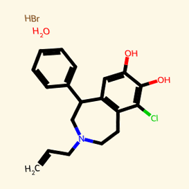 Br.C=CCN1CCc2c(cc(O)c(O)c2Cl)C(c2ccccc2)C1.O